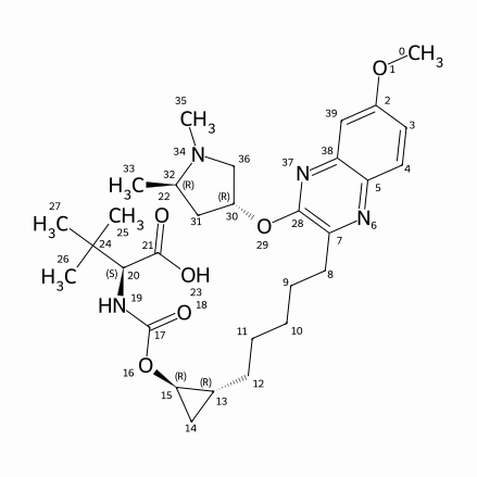 COc1ccc2nc(CCCCC[C@@H]3C[C@H]3OC(=O)N[C@H](C(=O)O)C(C)(C)C)c(O[C@@H]3C[C@@H](C)N(C)C3)nc2c1